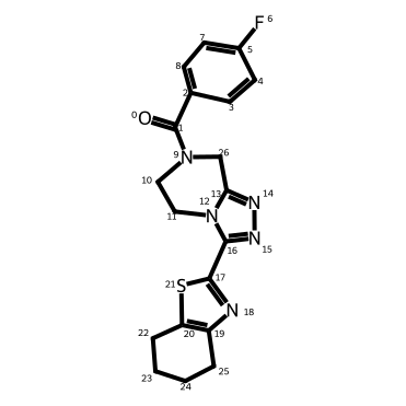 O=C(c1ccc(F)cc1)N1CCn2c(nnc2-c2nc3c(s2)CCCC3)C1